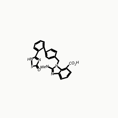 CNc1nc2cccc(C(=O)O)c2n1Cc1ccc(-c2ccccc2-c2nc(=O)s[nH]2)cc1